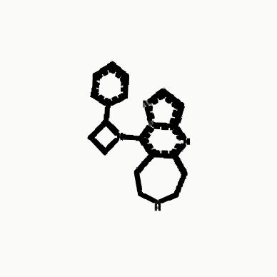 c1ccc(C2CCN2c2c3c(nc4ccnn24)CCNCC3)cc1